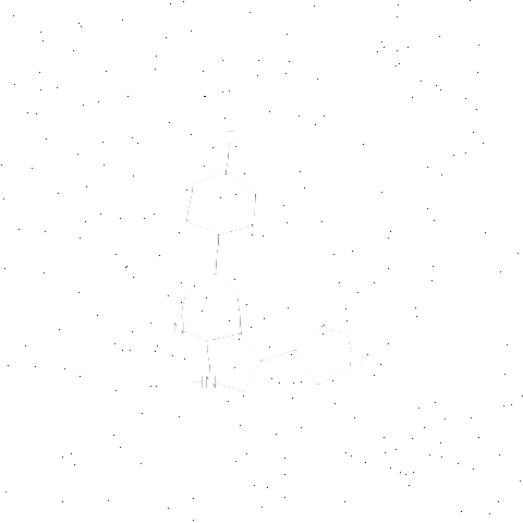 CCC1CCC(C2CNC3NCC(C4CCOC4)C3C2)CC1